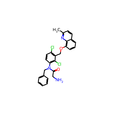 Cc1ccc2cccc(OCc3c(Cl)ccc(N(Cc4ccccc4)C(=O)CN)c3Cl)c2n1